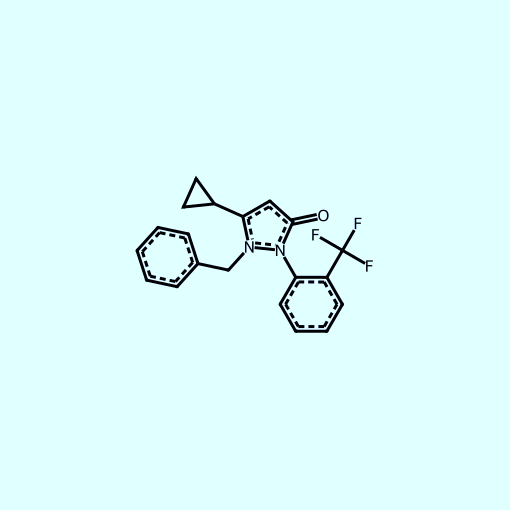 O=c1cc(C2CC2)n(Cc2ccccc2)n1-c1ccccc1C(F)(F)F